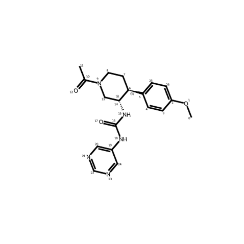 COc1ccc([C@@H]2CCN(C(C)=O)C[C@H]2NC(=O)Nc2cncnc2)cc1